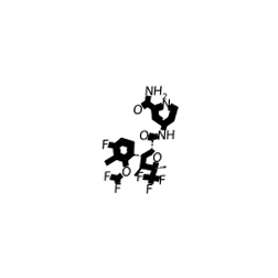 Cc1c(F)ccc([C@@H]2[C@H](C(=O)Nc3ccnc(C(N)=O)c3)O[C@@](C)(C(F)(F)F)[C@H]2C)c1OC(F)F